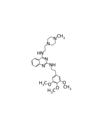 COc1cc(CCNc2nc(NCCN3CCN(C)CC3)c3ccccc3n2)cc(OC)c1OC